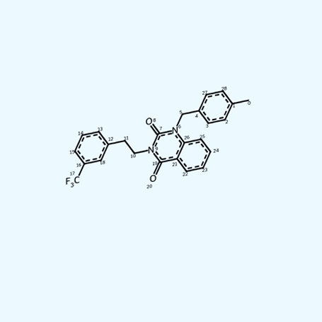 Cc1ccc(Cn2c(=O)n(CCc3cccc(C(F)(F)F)c3)c(=O)c3ccccc32)cc1